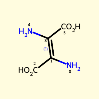 N/C(C(=O)O)=C(/N)C(=O)O